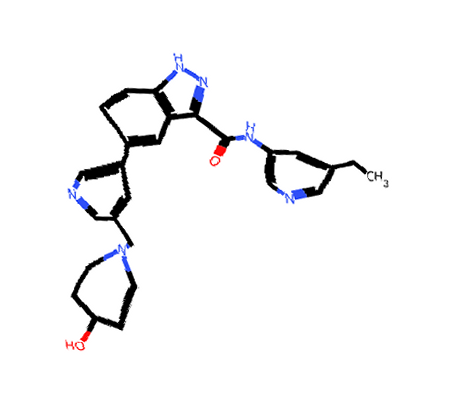 CCc1cncc(NC(=O)c2n[nH]c3ccc(-c4cncc(CN5CCC(O)CC5)c4)cc23)c1